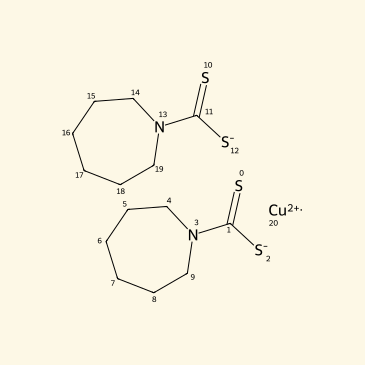 S=C([S-])N1CCCCCC1.S=C([S-])N1CCCCCC1.[Cu+2]